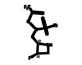 CCS(=O)(=O)N(C[C@H]1NC[C@H]1F)OC(=O)C(F)(F)F